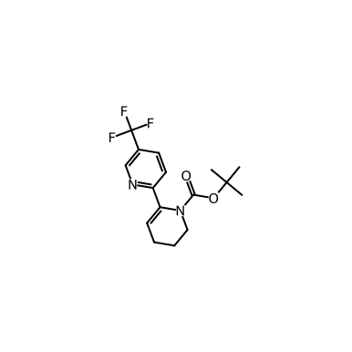 CC(C)(C)OC(=O)N1CCCC=C1c1ccc(C(F)(F)F)cn1